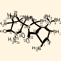 Bc1c(F)c(B)c(N(B)B)c2c1C(=O)N(C1(B)C(=O)N(B)C(=O)C(B)(B)C1(B)B)C2(B)B